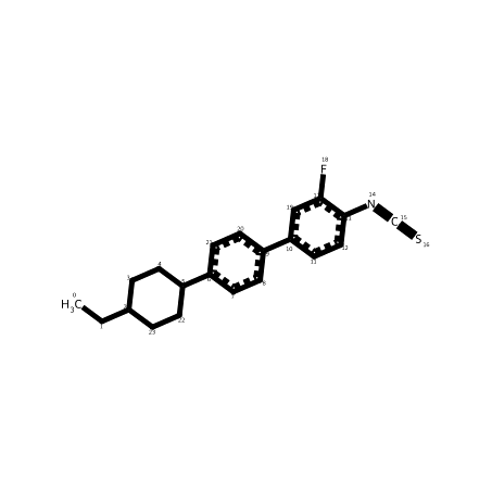 CCC1CCC(c2ccc(-c3ccc(N=C=S)c(F)c3)cc2)CC1